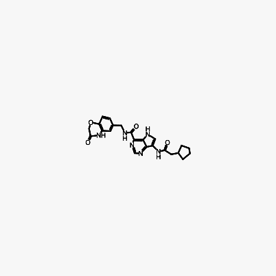 O=C1COc2ccc(CNC(=O)c3ncnc4c(NC(=O)CC5CCCC5)c[nH]c34)cc2N1